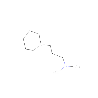 CCCCN(CCCC)CC[CH2][Ga]1[CH2]CCC[CH2]1